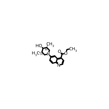 CCOC(=O)c1ccnc2ccc(N3C[C@@H](C)C(O)[C@@H](C)C3)cc12